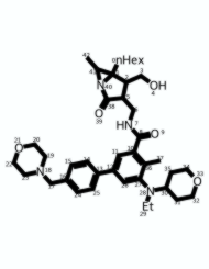 CCCCCCC12C(CO)C(CNC(=O)c3cc(-c4ccc(CN5CCOCC5)cc4)cc(N(CC)C4CCOCC4)c3C)C(=O)N1C2C